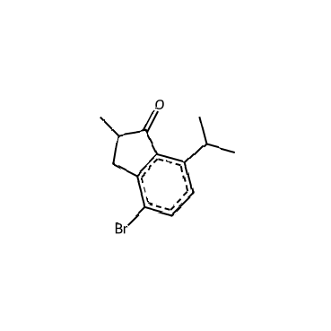 CC1Cc2c(Br)ccc(C(C)C)c2C1=O